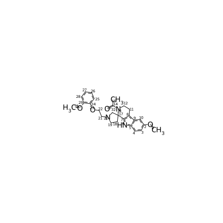 COc1ccc2[nH]c3c(c2c1)CCN(C(C)=O)C31CCN(CCOc2ccccc2OC)C1